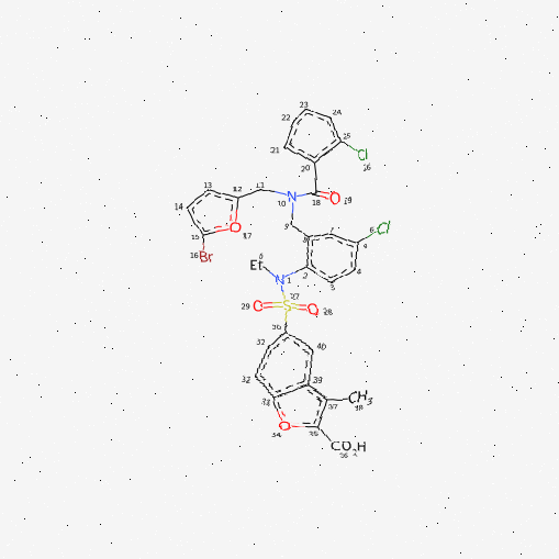 CCN(c1ccc(Cl)cc1CN(Cc1ccc(Br)o1)C(=O)c1ccccc1Cl)S(=O)(=O)c1ccc2oc(C(=O)O)c(C)c2c1